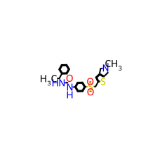 CC(NC(=O)Nc1ccc(S(=O)(=O)Cc2cc3c(s2)CN(C)C3)cc1)c1ccccc1